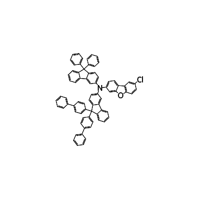 Clc1ccc2oc3cc(N(c4ccc5c(c4)-c4ccccc4C5(c4ccccc4)c4ccccc4)c4ccc5c(c4)-c4ccccc4C5(c4ccc(-c5ccccc5)cc4)c4ccc(-c5ccccc5)cc4)ccc3c2c1